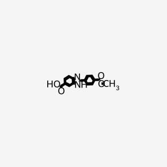 COC(=O)c1ccc(-c2nc3ccc(C(=O)O)cc3[nH]2)cc1